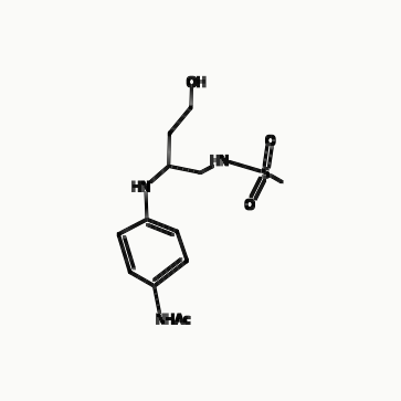 CC(=O)Nc1ccc(NC(CCO)CNS(C)(=O)=O)cc1